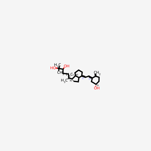 C=C1CC[C@H](O)C/C1=C\C=C1/CCC[C@@]2(C)C1CC[C@@H]2[C@H](C)CCC(O)C(C)(C)O